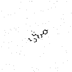 C=CC(=O)N1CC[C@@H](c2ncc(-c3ccc(F)cc3)nc2-c2ccn(C)n2)C1